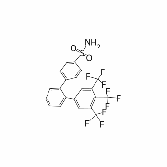 NS(=O)(=O)c1ccc(-c2ccccc2-c2cc(C(F)(F)F)c(C(F)(F)F)c(C(F)(F)F)c2)cc1